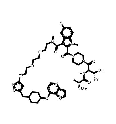 CN[C@@H](C)C(=O)NC(C(=O)N1CCN(C(=O)c2c(C(=O)N(C)CCOCCOCCOc3cc(CC4CCC(Oc5ccnc6ccsc56)CC4)on3)c3cc(F)ccc3n2C)CC1)[C@H](O)C(C)C